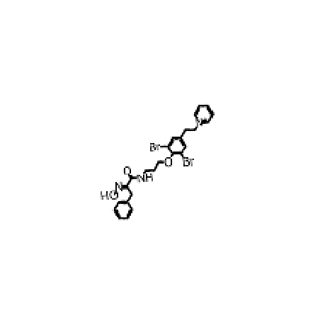 O=C(NCCCOc1c(Br)cc(CC[n+]2ccccc2)cc1Br)/C(Cc1ccccc1)=N/O